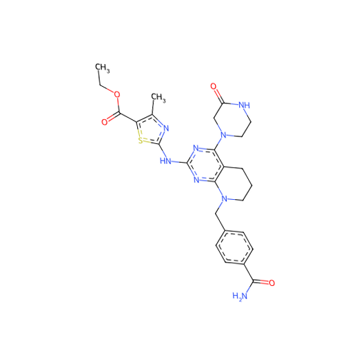 CCOC(=O)c1sc(Nc2nc(N3CCNC(=O)C3)c3c(n2)N(Cc2ccc(C(N)=O)cc2)CCC3)nc1C